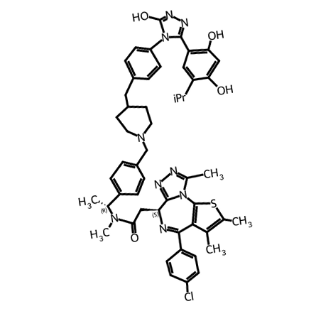 Cc1sc2c(c1C)C(c1ccc(Cl)cc1)=N[C@@H](CC(=O)N(C)[C@H](C)c1ccc(CN3CCC(Cc4ccc(-n5c(O)nnc5-c5cc(C(C)C)c(O)cc5O)cc4)CC3)cc1)c1nnc(C)n1-2